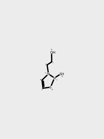 OCCN1C=CSN1S